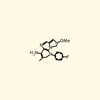 CON1C=C2C=NC3=C(N2C1)N(c1ccc(F)cc1)CC(C)=C3N